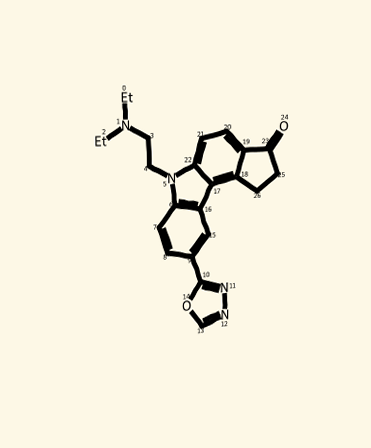 CCN(CC)CCn1c2ccc(-c3nnco3)cc2c2c3c(ccc21)C(=O)CC3